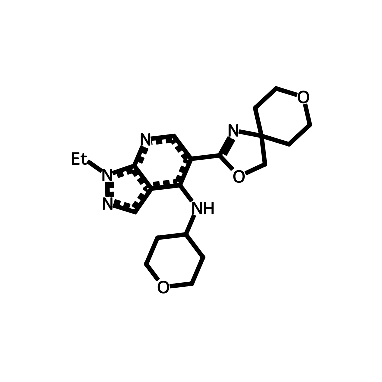 CCn1ncc2c(NC3CCOCC3)c(C3=NC4(CCOCC4)CO3)cnc21